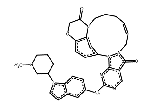 CN1CCCC(n2ccc3cc(Nc4ncc5c(=O)n6n(c5n4)-c4ccc5c(c4)N(CCC/C=C\C6)C(=O)CO5)ccc32)C1